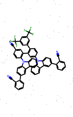 N#Cc1ccc(-n2c3ccccc3c3cc(-c4ccccc4C#N)ccc32)c(-c2cc(-n3c4ccccc4c4cc(-c5ccccc5C#N)ccc43)ccc2-c2cc(C(F)(F)F)cc(C(F)(F)F)c2)c1